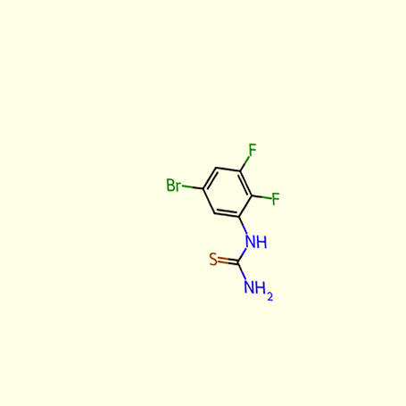 NC(=S)Nc1cc(Br)cc(F)c1F